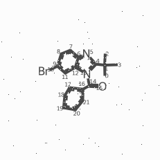 CC(C)(C)c1nc2ccc(Br)cc2n1C(=O)c1ccccc1